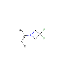 CC/C=C(/C(C)C)N1CC(F)(F)C1